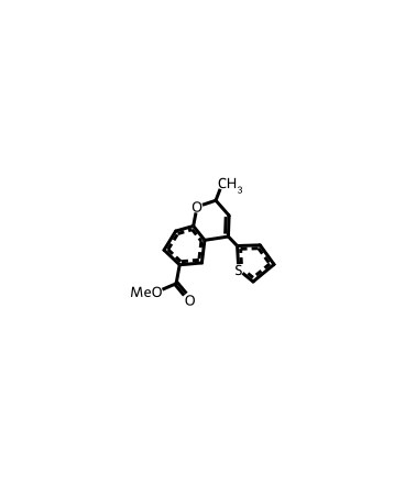 COC(=O)c1ccc2c(c1)C(c1cccs1)=CC(C)O2